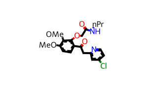 CCCNC(=O)COc1c(C(=O)Cc2cc(Cl)ccn2)ccc(OC)c1OC